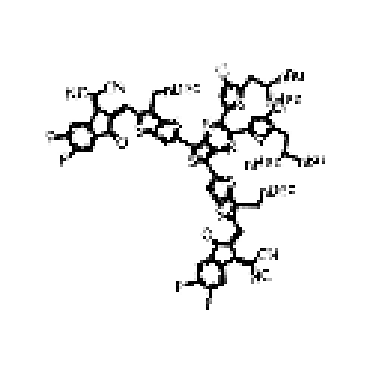 [C-]#[N+]/C(C#N)=C1/C(=C/c2sc3cc(-c4sc(-c5cc6sc(/C=C7\C(=O)c8cc(F)c(F)cc8C7=C(C#N)C#N)c(CCCCCCCCCCC)c6s5)c5nc(-c6cc(Cl)c(CC(CCCC)CCCCCC)s6)c(-c6cc(Cl)c(CC(CCCC)CCCCCC)s6)nc45)sc3c2CCCCCCCCCCC)C(=O)c2cc(F)c(F)cc21